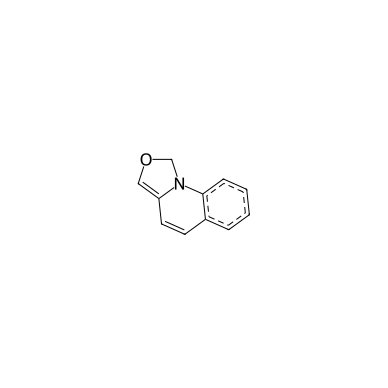 C1=Cc2ccccc2N2COC=C12